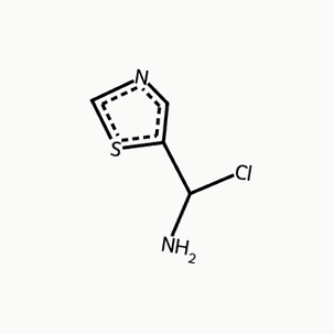 NC(Cl)c1cncs1